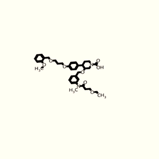 CCOCCC(=O)N(C)c1cccc(COC2CN(C(=O)O)CCC2c2ccc(OCCCOCc3ccccc3OC)cc2)c1